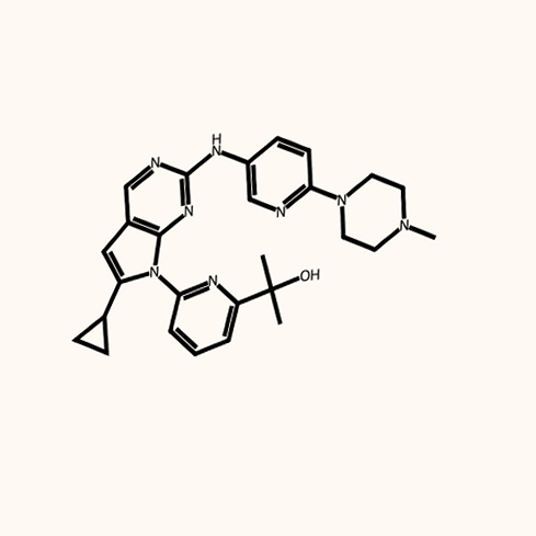 CN1CCN(c2ccc(Nc3ncc4cc(C5CC5)n(-c5cccc(C(C)(C)O)n5)c4n3)cn2)CC1